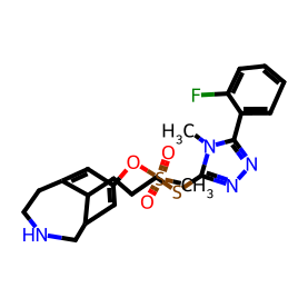 Cn1c(SCCCC2C3=CC(OS(C)(=O)=O)=CC2CNCC3)nnc1-c1ccccc1F